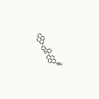 CC(C)(C)c1cc2ccc3ccc(-c4cccc5c4oc4ccc(-c6cc7ccc8cccc9ccc(c6)c7c89)cc45)c4ccc(c1)c2c34